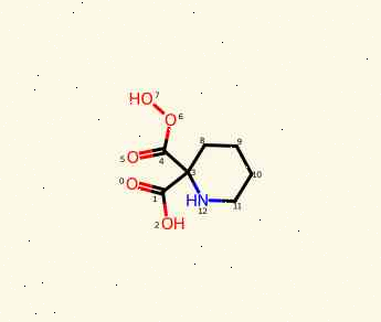 O=C(O)C1(C(=O)OO)CCCCN1